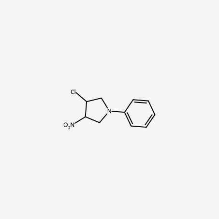 O=[N+]([O-])C1CN(c2ccccc2)CC1Cl